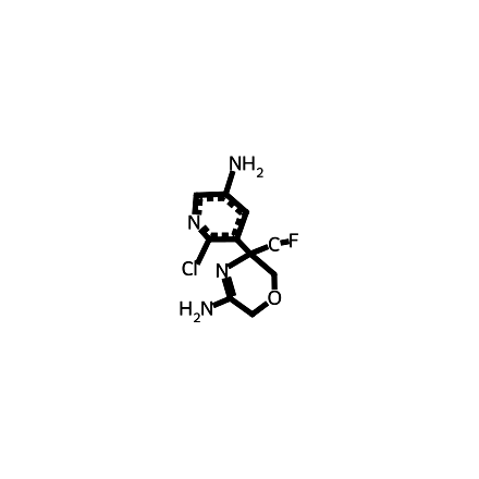 NC1=NC(CF)(c2cc(N)cnc2Cl)COC1